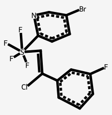 Fc1cccc(C(Cl)=CS(F)(F)(F)(F)c2ccc(Br)cn2)c1